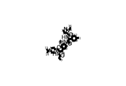 CCC(=O)N[C@@H](C(=O)N1CCN(C(C)C)CC1)[C@@H](C)c1ccc(NC(=O)[C@@H](NC(=O)c2ccnn2CC)C2CCC(C)CC2)c(F)c1